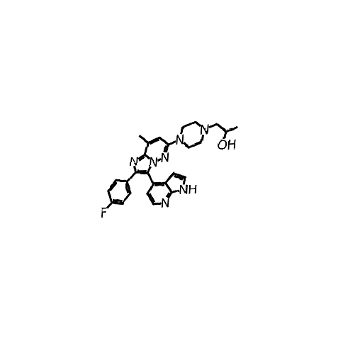 Cc1cc(N2CCN(CC(C)O)CC2)nn2c(-c3ccnc4[nH]ccc34)c(-c3ccc(F)cc3)nc12